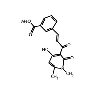 COC(=O)c1cccc(C=CC(=O)c2c(O)cc(C)n(C)c2=O)c1